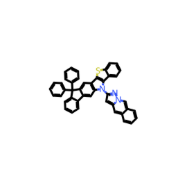 c1ccc(C2(c3ccccc3)c3ccccc3-c3cc4c(cc32)c2sc3ccccc3c2n4-c2cc3cc4ccccc4cn3n2)cc1